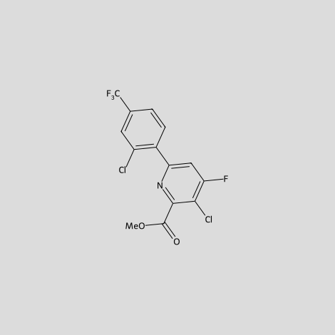 COC(=O)c1nc(-c2ccc(C(F)(F)F)cc2Cl)cc(F)c1Cl